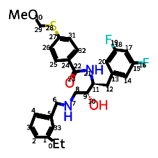 CCc1cccc(CNC[C@@H](O)[C@H](Cc2cc(F)cc(F)c2)NC(=O)c2ccc(SCOC)cc2)c1